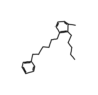 CCCCCc1c(CCCCCCc2ccccc2)[c]ccc1C